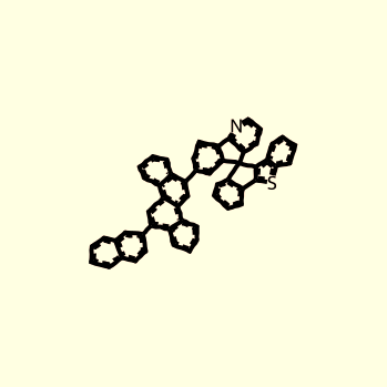 c1ccc2c(c1)-c1sc3ccccc3c1C21c2cc(-c3cc4c5ccccc5c(-c5ccc6ccccc6c5)cc4c4ccccc34)ccc2-c2ncccc21